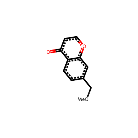 COCc1ccc2c(=O)ccoc2c1